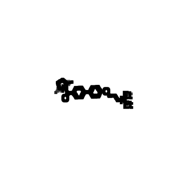 CCN(CC)CCCOc1ccc(-c2ccc(C(=O)N3[C@H](C)CC[C@H]3C)cc2)cc1